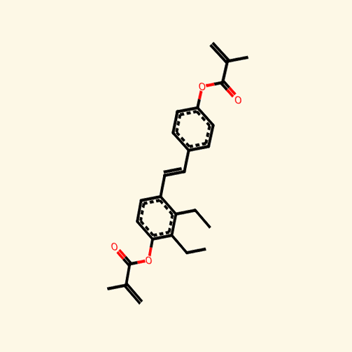 C=C(C)C(=O)Oc1ccc(C=Cc2ccc(OC(=O)C(=C)C)c(CC)c2CC)cc1